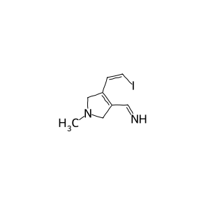 CN1CC(C=N)=C(/C=C\I)C1